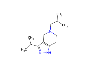 CC(C)CN1CCc2[nH]nc(C(C)C)c2C1